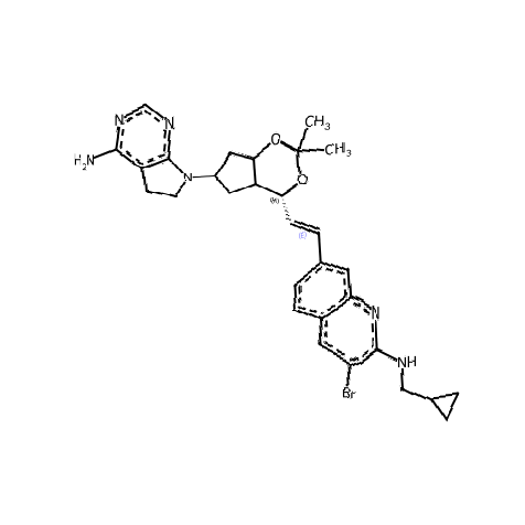 CC1(C)OC2CC(N3CCc4c(N)ncnc43)CC2[C@@H](/C=C/c2ccc3cc(Br)c(NCC4CC4)nc3c2)O1